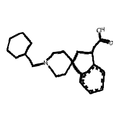 O=C(O)C1CC2(CCN(CC3CCCCC3)CC2)c2ccccc21